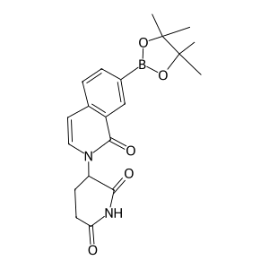 CC1(C)OB(c2ccc3ccn(C4CCC(=O)NC4=O)c(=O)c3c2)OC1(C)C